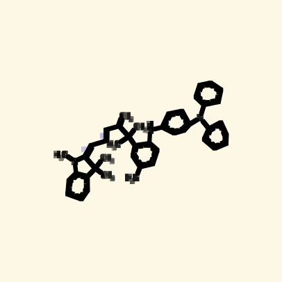 C=C(/C=C/C=C1/N(C)c2ccccc2C1(C)C)C(C)(C)c1cc(N)ccc1Nc1ccc(N(c2ccccc2)c2ccccc2)cc1